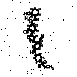 CCS(=O)(=O)N1CCC(Nc2ncc(C#N)c(-c3cnn(-c4ccc(CN[C@@H]5CCCC[C@@]5(C)O)cc4Cl)c3)n2)CC1